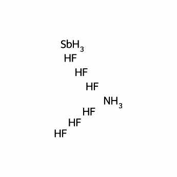 F.F.F.F.F.F.N.[SbH3]